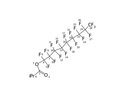 CC(C)C(=O)OC(F)(F)C(F)(F)C(F)(F)C(F)(F)C(F)(F)C(F)(F)C(F)(F)C(F)(F)C(F)(F)F